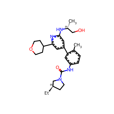 CC[C@@H]1CCN(C(=O)Nc2ccc(C)c(-c3cc(N[C@H](C)CO)nc(C4CCOCC4)c3)c2)C1